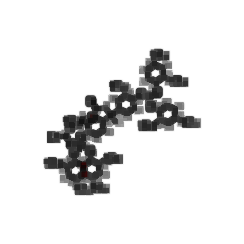 CCC(=O)OCCOC(=O)CC(C)(c1ccc(OP(Oc2ccc(C(C)(C)C)cc2C(C)(C)C)Oc2ccc(C(C)(C)C)cc2C(C)(C)C)c(C(C)(C)C)c1)c1ccc(OP(Oc2ccc(C(C)(C)C)cc2C(C)(C)C)Oc2ccc(C(C)(C)C)cc2C(C)(C)C)c(C(C)(C)C)c1